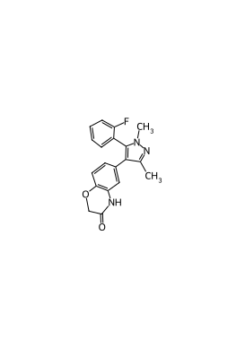 Cc1nn(C)c(-c2ccccc2F)c1-c1ccc2c(c1)NC(=O)CO2